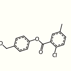 Cc1ccc(Cl)c(C(=O)Oc2ccc(CO)cc2)c1